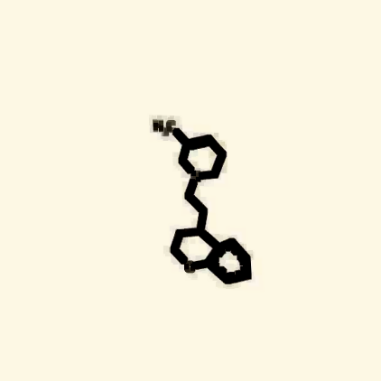 CC1=CCCN(CCC2CCOc3ccccc32)C1